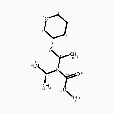 CC(C[C@H]1CCCOC1)N(C(=O)OC(C)(C)C)[C@@H](C)N